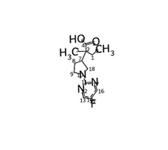 CCC(C)(C(=O)O)C1CCN(c2ncc(F)cn2)C1